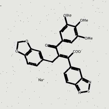 COc1cc(C(=O)C(Cc2ccc3c(c2)OCO3)=C(C(=O)[O-])c2ccc3nsnc3c2)cc(OC)c1OC.[Na+]